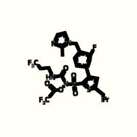 Cc1nccn1Cc1ccc(-c2cc(CC(C)C)sc2S(=O)(=O)N(OC(=O)C(F)(F)F)C(=O)NCCC(F)(F)F)cc1F